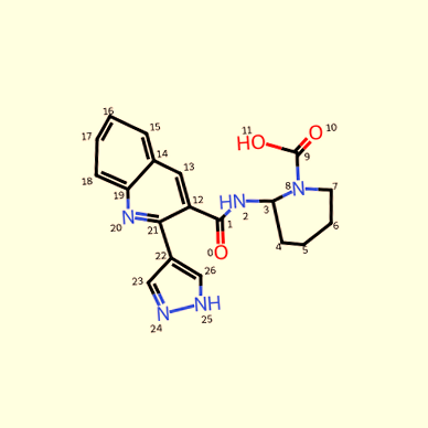 O=C(NC1CCCCN1C(=O)O)c1cc2ccccc2nc1-c1cn[nH]c1